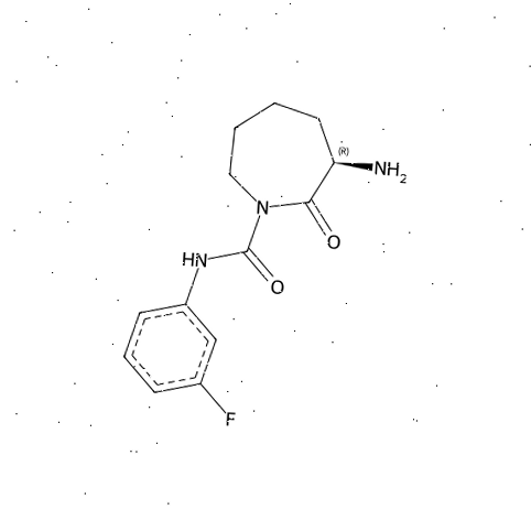 N[C@@H]1CCCCN(C(=O)Nc2cccc(F)c2)C1=O